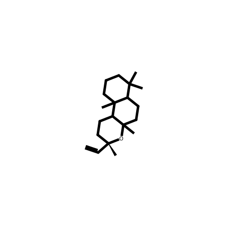 C=C[C@]1(C)CCC2C(C)(CCC3C(C)(C)CCCC32C)O1